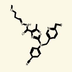 COCCCSNC(=O)c1nc(N(Cc2ccc(CF)nc2)c2ccc(C#N)cc2)sc1C